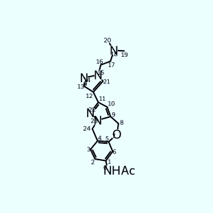 CC(=O)Nc1ccc2c(c1)OCc1cc(-c3cnn(CCN(C)C)c3)nn1C2